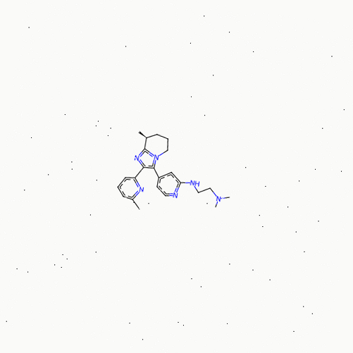 Cc1cccc(-c2nc3n(c2-c2ccnc(NCCN(C)C)c2)CCC[C@@H]3C)n1